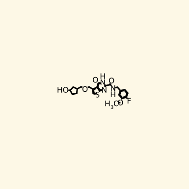 COc1cc(CNC(=O)c2nc3scc(COCC4CCC(O)C4)c3c(=O)[nH]2)ccc1F